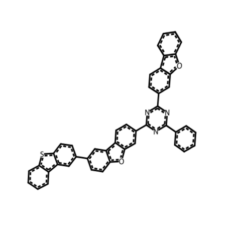 c1ccc(-c2nc(-c3ccc4c(c3)oc3ccccc34)nc(-c3ccc4c(c3)oc3ccc(-c5ccc6sc7ccccc7c6c5)cc34)n2)cc1